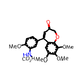 COc1ccc(C2=CC(=O)COc3c2cc(OC)c(OC)c3OC)cc1NC(=O)O